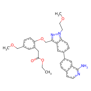 CCOC(=O)Cc1cc(COC)ccc1OCc1nn(CCOC)c2ccc(-c3ccc4ccnc(N)c4c3)cc12